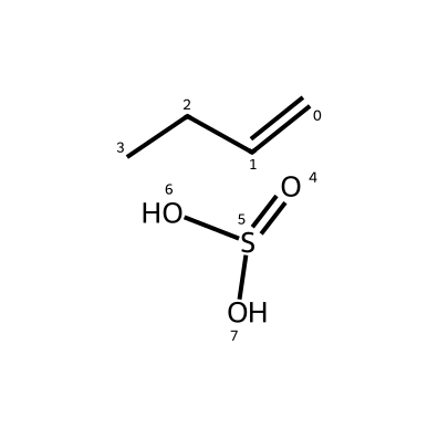 C=CCC.O=S(O)O